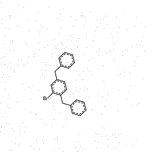 Brc1cc(Cc2ccccc2)ccc1Cc1ccccc1